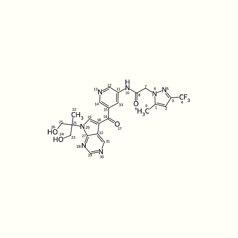 Cc1cc(C(F)(F)F)nn1CC(=O)Nc1cncc(C(=O)c2cn(C(C)(CO)CO)c3ncncc23)c1